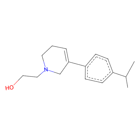 CC(C)c1ccc(C2=CCCN(CCO)C2)cc1